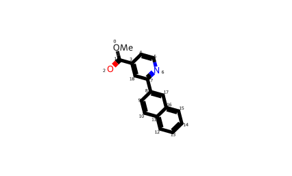 COC(=O)c1ccnc(-c2ccc3ccccc3c2)c1